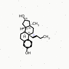 CC/C=C/[C@]12CC[C@]3(C)C[C@H](O)C[C@H]3[C@@H]1CCc1cc(O)ccc12